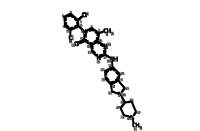 Cc1cn(-c2c(Cl)cccc2Cl)c(=O)c2cnc(Nc3ccc4c(c3)CN(C3CCN(C)CC3)C4)nc12